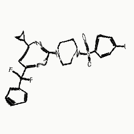 O=S(=O)(c1ccc(I)cc1)N1CCN(c2nc(C3CC3)cc(C(F)(F)c3ccccc3)n2)CC1